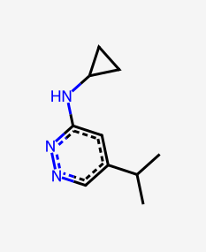 CC(C)c1cnnc(NC2CC2)c1